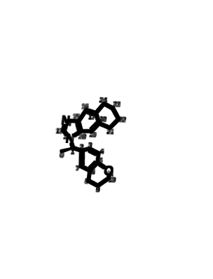 C[C@H](c1ccc2c(c1)CCCO2)n1cnc2cc3c(cc21)CCCC3